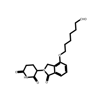 O=CCCCCCCOc1cccc2c1CN(C1CCC(=O)NC1=O)C2=O